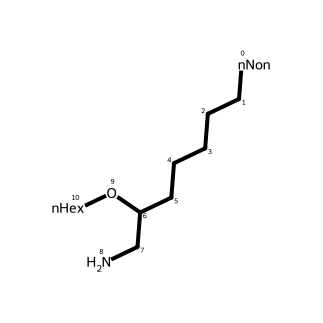 CCCCCCCCCCCCCCC(CN)OCCCCCC